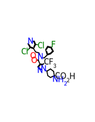 NC1(C(=O)O)CCC(n2ncc(C(=O)N(CC(=O)c3c(Cl)cncc3Cl)Cc3ccc(F)cc3)c2C(F)(F)F)CC1